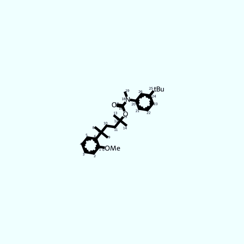 COc1ccccc1C(C)(C)CCC(C)(C)OC(=O)N(C)c1cccc(C(C)(C)C)c1